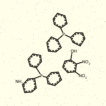 N.O=[N+]([O-])c1cccc(O)c1[N+](=O)[O-].c1ccc(P(c2ccccc2)c2ccccc2)cc1.c1ccc(P(c2ccccc2)c2ccccc2)cc1